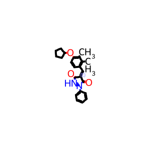 Cc1c(/C=C2\C(=O)NN(c3ccccc3)C2=O)ccc(OC2CCCC2)c1C